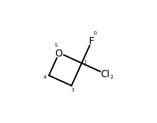 FC1(Cl)CCO1